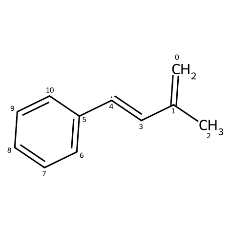 C=C(C)C=[C]c1ccccc1